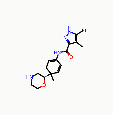 CCc1[nH]nc(C(=O)NC2=CCC(C)([C@@H]3CNCCO3)C=C2)c1C